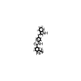 O=C(Nc1ccc(Cc2c[nH]c3ncccc23)cn1)c1ccc(F)c(C(F)(F)F)c1